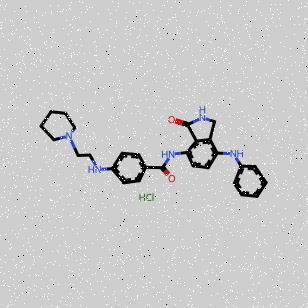 Cl.O=C(Nc1ccc(Nc2ccccc2)c2c1C(=O)NC2)c1ccc(NCCN2CCCCC2)cc1